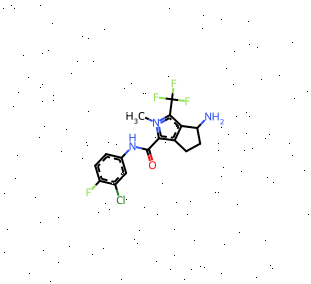 Cn1c(C(=O)Nc2ccc(F)c(Cl)c2)c2c(c1C(F)(F)F)C(N)CC2